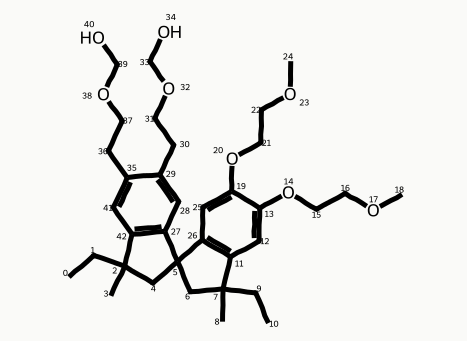 CCC1(C)CC2(CC(C)(CC)c3cc(OCCOC)c(OCCOC)cc32)c2cc(CCOCO)c(CCOCO)cc21